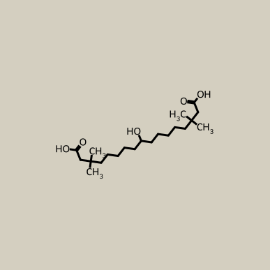 CC(C)(CCCCCC(O)CCCCCC(C)(C)CC(=O)O)CC(=O)O